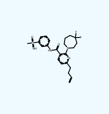 C=CCCc1ccc(C(=O)Nc2cccc(S(C)(=N)=O)c2)c(N2CCCC(F)(F)CC2)n1